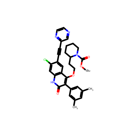 Cc1cc(C)cc(-c2c(OCCC3CCCCN3C(=O)OC(C)(C)C)c3cc(C#Cc4cnccn4)c(Cl)cc3[nH]c2=O)c1